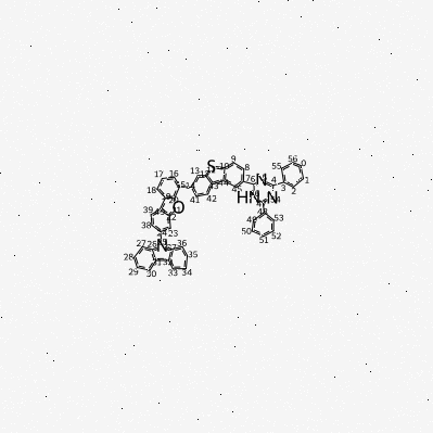 c1ccc(C2=NC(c3ccc4sc5cc(-c6cccc7c6oc6cc(-n8c9ccccc9c9ccccc98)ccc67)ccc5c4c3)NC(c3ccccc3)=N2)cc1